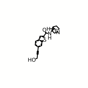 O=C(N[C@H]1CN2CCC1CC2)c1cc2ccc(C#CCO)cc2s1